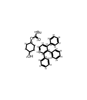 CC(C)(C)C(=O)OC1CCC(O)CC1.b1ccc(-c2ccccc2)c(-c2ccccc2)c1-c1ccccc1